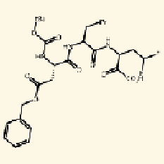 CC(C)CC(NC(=O)[C@H](CC(=O)OCc1ccccc1)NC(=O)OC(C)(C)C)C(=O)NC(CC(F)F)C(=O)C(=O)O